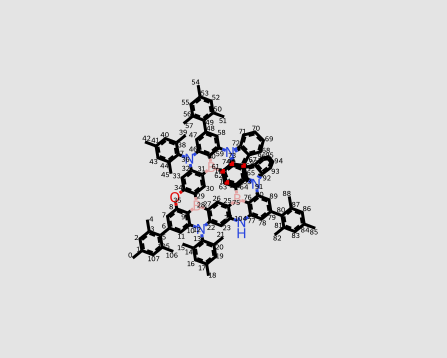 Cc1cc(C)c(-c2cc3c4c(c2)N(c2c(C)cc(C)cc2C)c2cc5c(cc2B4c2cc4c(cc2O3)N(c2c(C)cc(C)cc2C)c2cc(-c3c(C)cc(C)cc3C)cc3c2B4c2cccc4c6ccccc6n-3c24)B2c3c(cc(-c4c(C)cc(C)cc4C)cc3-n3c4ccccc4c4cccc2c43)N5)c(C)c1